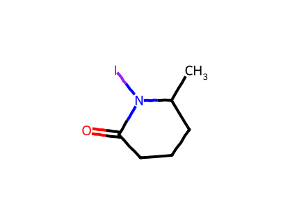 CC1CCCC(=O)N1I